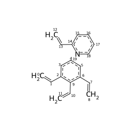 C=Cc1cccc(C=C)c1C=C.C=Cc1ccccn1